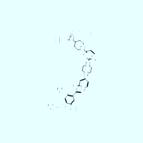 COc1cc(OC)c(-c2cn3ccc(N4CCN(c5nccc(N6CCC(N(C)C(=O)O)CC6)n5)CC4)cc3n2)cc1Cl